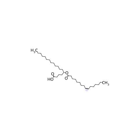 CCCCCC/C=C\CCCCCCCC(=O)OC(CCCCCCCCCCCCC)CCCC(=O)O